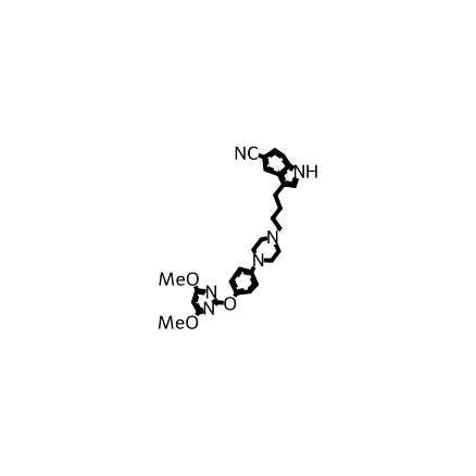 COc1cc(OC)nc(Oc2ccc(N3CCN(CCCCc4c[nH]c5ccc(C#N)cc45)CC3)cc2)n1